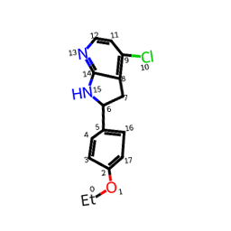 CCOc1ccc(C2Cc3c(Cl)ccnc3N2)cc1